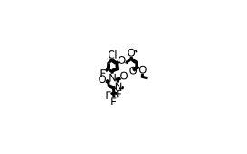 CCOC(=O)/C=C(\COc1cc(-n2c(=O)cc(C(F)(F)F)n(C)c2=O)c(F)cc1Cl)OC